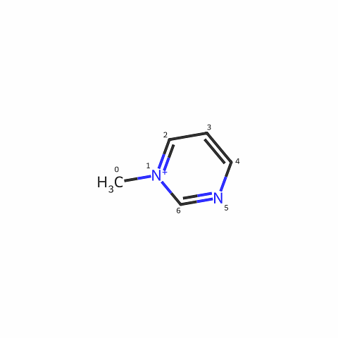 C[n+]1cccnc1